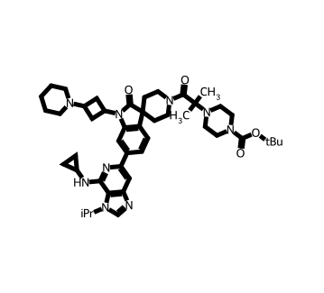 CC(C)n1cnc2cc(-c3ccc4c(c3)N(C3CC(N5CCCCC5)C3)C(=O)C43CCN(C(=O)C(C)(C)N4CCN(C(=O)OC(C)(C)C)CC4)CC3)nc(NC3CC3)c21